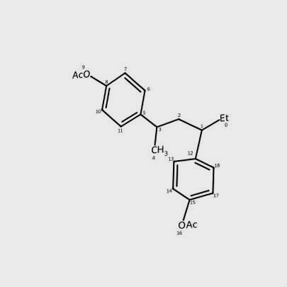 CCC(CC(C)c1ccc(OC(C)=O)cc1)c1ccc(OC(C)=O)cc1